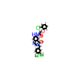 O=C(COc1ccccc1Cl)Nc1ccc2ncn(Cc3ccc(Cl)c(Cl)c3)c(=O)c2c1